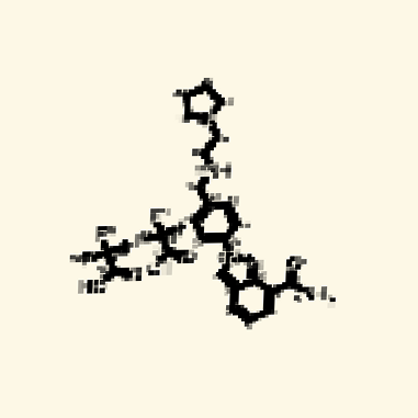 NC(=O)c1cccc2cn(-c3ccc(CNCCN4CCCC4)cc3)nc12.O=C(O)C(F)(F)F.O=C(O)C(F)(F)F